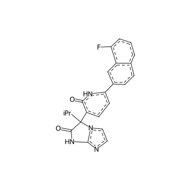 CC(C)C1(c2ccc(-c3ccc4cccc(F)c4c3)[nH]c2=O)C(=O)Nc2nccn21